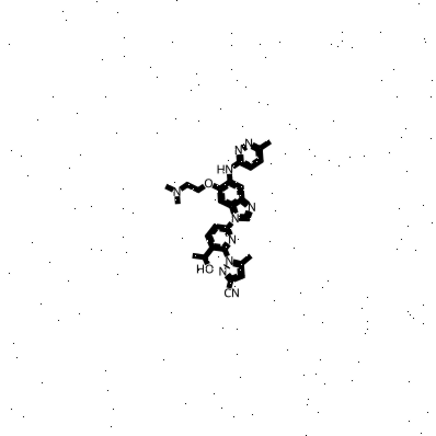 Cc1ccc(Nc2cc3ncn(-c4ccc(C(C)O)c(-n5nc(C#N)cc5C)n4)c3cc2OCCN(C)C)nn1